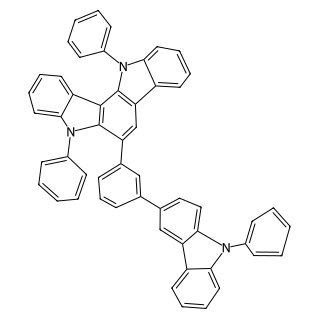 c1ccc(-n2c3ccccc3c3cc(-c4cccc(-c5cc6c7ccccc7n(-c7ccccc7)c6c6c7ccccc7n(-c7ccccc7)c56)c4)ccc32)cc1